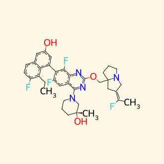 CCc1c(F)ccc2cc(O)cc(-c3c(F)cc4c(N5CCC[C@@](C)(O)C5)nc(OCC56CCCN5C/C(=C(\C)F)C6)nc4c3F)c12